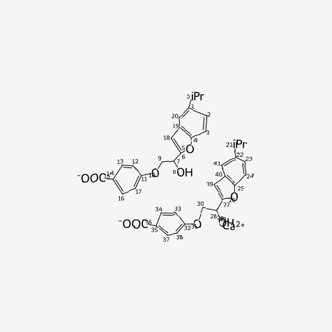 CC(C)c1ccc2oc(C(O)COc3ccc(C(=O)[O-])cc3)cc2c1.CC(C)c1ccc2oc(C(O)COc3ccc(C(=O)[O-])cc3)cc2c1.[Ca+2]